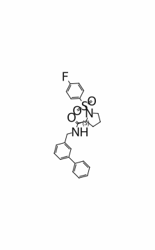 O=C(NCc1cccc(-c2ccccc2)c1)[C@@H]1CCCN1S(=O)(=O)c1ccc(F)cc1